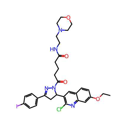 CCOc1ccc2cc(C3CC(c4ccc(I)cc4)=NN3C(=O)CCCC(=O)NCCN3CCOCC3)c(Cl)nc2c1